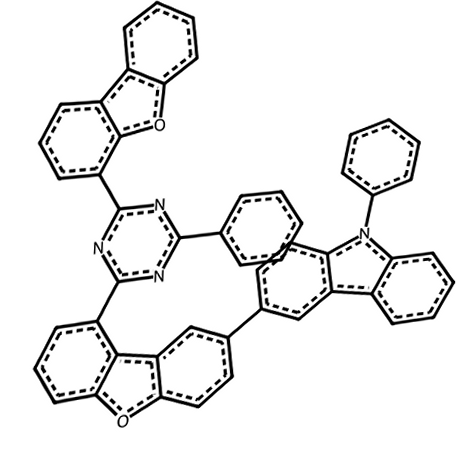 c1ccc(-c2nc(-c3cccc4c3oc3ccccc34)nc(-c3cccc4oc5ccc(-c6ccc7c(c6)c6ccccc6n7-c6ccccc6)cc5c34)n2)cc1